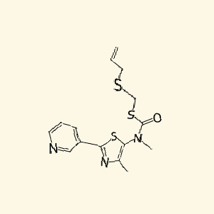 C=CCSCSC(=O)N(C)c1sc(-c2cccnc2)nc1C